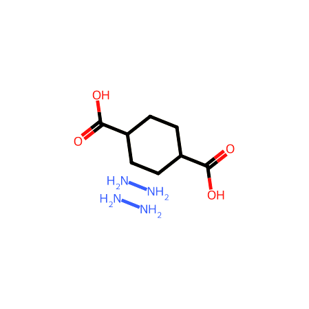 NN.NN.O=C(O)C1CCC(C(=O)O)CC1